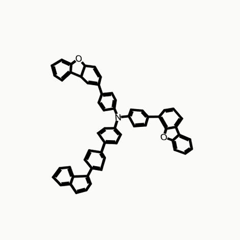 C1=CC2Oc3ccccc3C2C=C1c1ccc(N(c2ccc(-c3ccc(-c4cccc5ccccc45)cc3)cc2)c2ccc(-c3cccc4c3oc3ccccc34)cc2)cc1